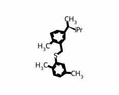 Cc1ccc(C)c(SCc2cc([C@@H](C)C(C)C)ccc2C)c1